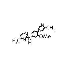 COc1cc(Nc2nccc(C(F)(F)F)n2)ccc1-n1cnc(C)c1